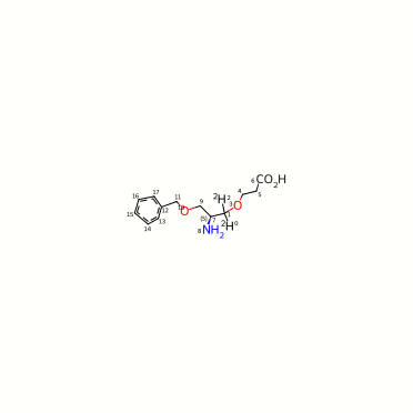 [2H]C([2H])(OCCC(=O)O)[C@@H](N)COCc1ccccc1